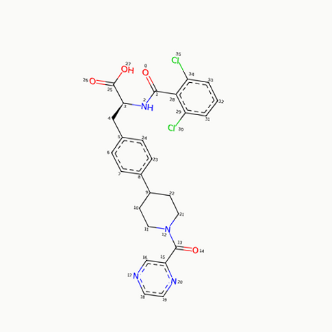 O=C(N[C@@H](Cc1ccc(C2CCN(C(=O)c3cnccn3)CC2)cc1)C(=O)O)c1c(Cl)cccc1Cl